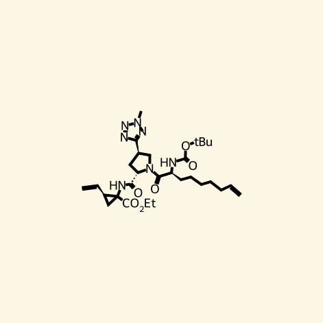 C=CCCCCC[C@H](NC(=O)OC(C)(C)C)C(=O)N1C[C@H](c2nnn(C)n2)C[C@H]1C(=O)NC1(C(=O)OCC)C[C@H]1C=C